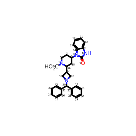 O=C(O)N1CCC(n2c(=O)[nH]c3ccccc32)CC1C1CN(C(c2ccccc2)c2ccccc2)C1